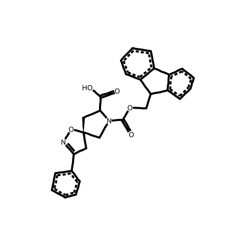 O=C(O)C1C[C@]2(CC(c3ccccc3)=NO2)CN1C(=O)OCC1c2ccccc2-c2ccccc21